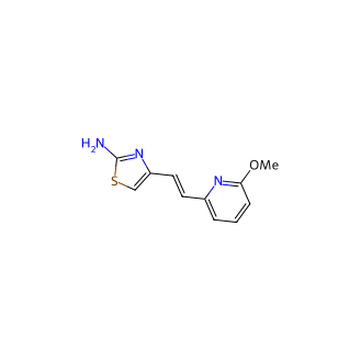 COc1cccc(/C=C/c2csc(N)n2)n1